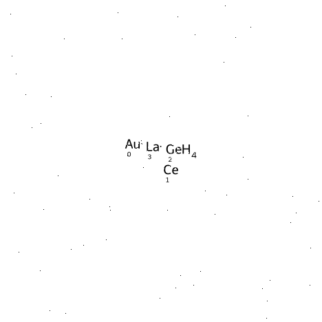 [Au].[Ce].[GeH4].[La]